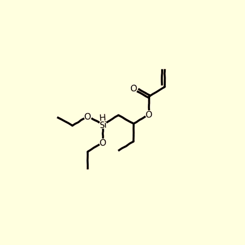 C=CC(=O)OC(CC)C[SiH](OCC)OCC